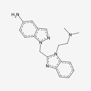 CN(C)CCn1c(Cn2ncc3cc(N)ccc32)nc2ccccc21